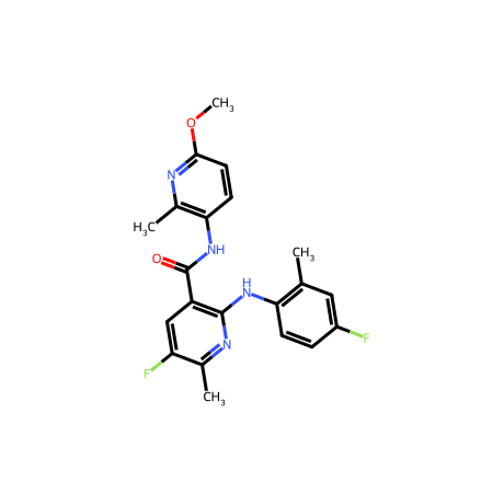 COc1ccc(NC(=O)c2cc(F)c(C)nc2Nc2ccc(F)cc2C)c(C)n1